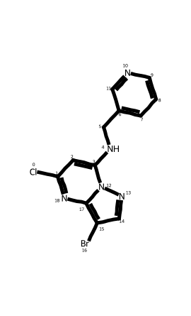 Clc1cc(NCc2cccnc2)n2ncc(Br)c2n1